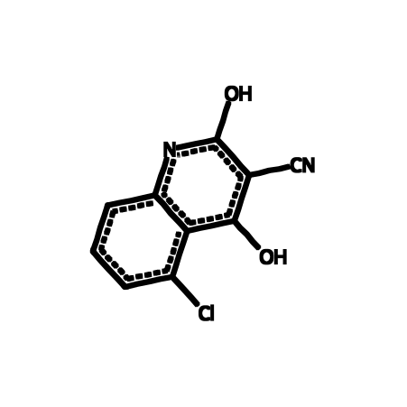 N#Cc1c(O)nc2cccc(Cl)c2c1O